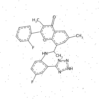 Cc1cc(C(C)Nc2ccc(F)cc2-c2nn[nH]n2)c2oc(-c3ccccc3F)c(C)c(=O)c2c1